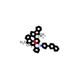 CC1(C)c2ccccc2-c2ccc(-c3ccccc3N(c3ccc(-c4ccc5ccccc5c4)cc3)c3ccc(-c4cccc5c4C(C)(C)c4ccccc4-5)cc3)cc21